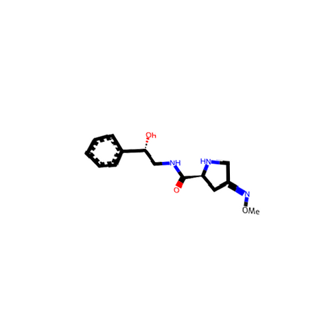 CO/N=C1/CN[C@H](C(=O)NC[C@@H](O)c2ccccc2)C1